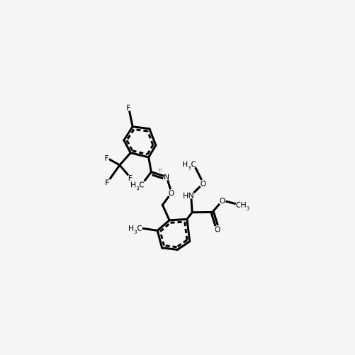 CONC(C(=O)OC)c1cccc(C)c1CO/N=C(\C)c1ccc(F)cc1C(F)(F)F